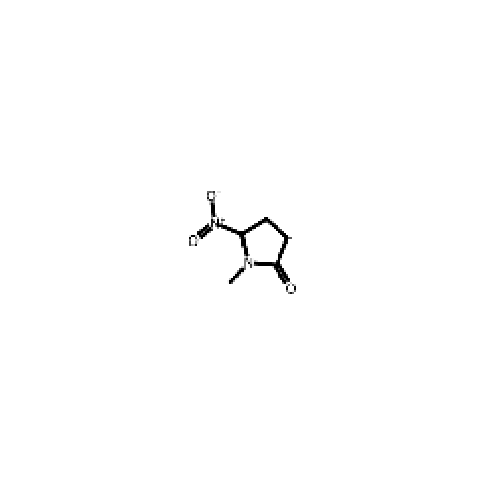 CN1C(=O)[CH]CC1[N+](=O)[O-]